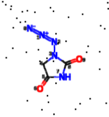 [N-]=[N+]=NN1CC(=O)NC1=O